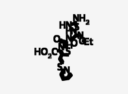 CCO/N=C(\C(=O)NC1C(=O)N2C(C(=O)O)=C(/C=C/Sc3ccccn3)CS[C@H]12)N1CNC(N)S1